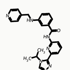 CC(C)n1cnnc1-c1cccc(NC(=O)c2cccc(NCc3ccncc3)c2)n1